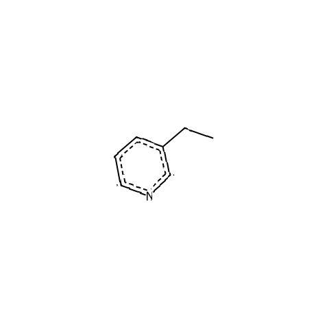 CCc1[c]n[c]cc1